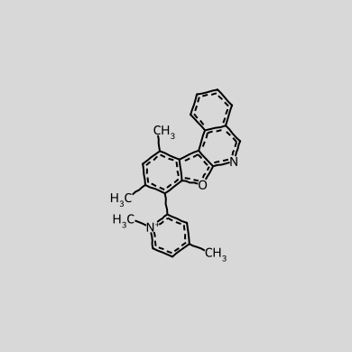 Cc1cc[n+](C)c(-c2c(C)cc(C)c3c2oc2ncc4ccccc4c23)c1